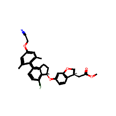 COC(=O)C[C@@H]1COc2cc(O[C@@H]3CCc4c(-c5c(C)cc(OCC#N)cc5C)ccc(F)c43)ccc21